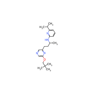 CC(CCc1cncc(OCC(C)(C)C)n1)Nc1cccc(C(C)C)n1